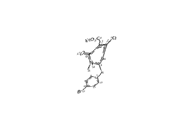 CCOC(=O)c1c(Cl)cc(Cc2ccc(Br)cc2)n(C)c1=O